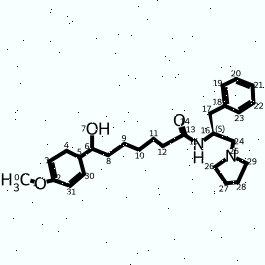 COC1=CCC(C(O)CCCCCC(=O)N[C@@H](Cc2ccccc2)CN2CCCC2)C=C1